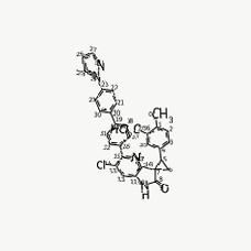 Cc1ccc(C2CC23C(=O)Nc2cc(Cl)c(-c4ccc(-c5ccc(-n6cccn6)cc5)cc4)nc23)cc1C(=O)O